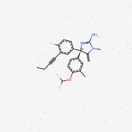 C=C1N(C)C(N)=N[C@@]1(c1ccc(OC(F)F)c(C)c1)c1ccc(F)c(C#CCC)c1